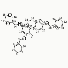 Cc1c(OCc2ccccc2)c/c(=N\C[C@@H]2COCCO2)n2c1-c1ccc(OCc3ccccc3)cc1CC2